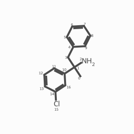 CC(N)(Cc1ccccc1)c1cccc(Cl)c1